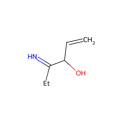 C=CC(O)C(=N)CC